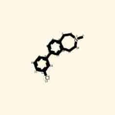 CN1CCc2ccc(-c3cccc(Cl)c3)cc2CC1